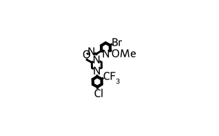 COc1nc(C2=NOCC3CN(c4ccc(Cl)cc4C(F)(F)F)CCN23)ccc1Br